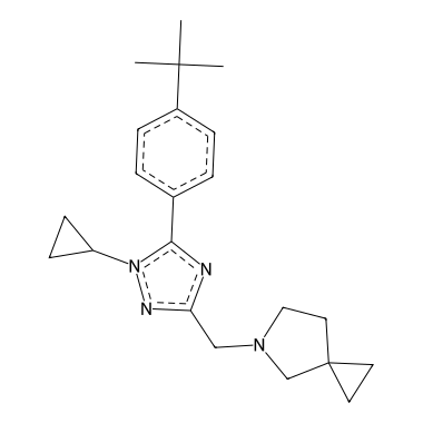 CC(C)(C)c1ccc(-c2nc(CN3CCC4(CC4)C3)nn2C2CC2)cc1